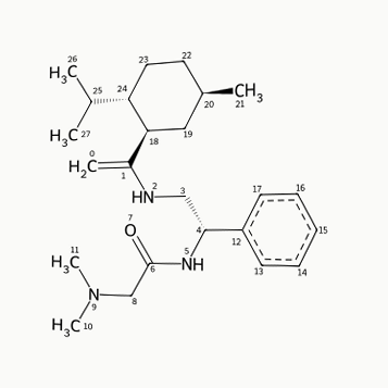 C=C(NC[C@@H](NC(=O)CN(C)C)c1ccccc1)[C@@H]1C[C@H](C)CC[C@H]1C(C)C